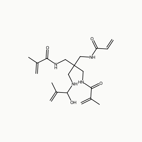 C=CC(=O)NCC(CNC(=O)C(=C)C)(CNC(=O)C(=C)C)CNC(O)C(=C)C